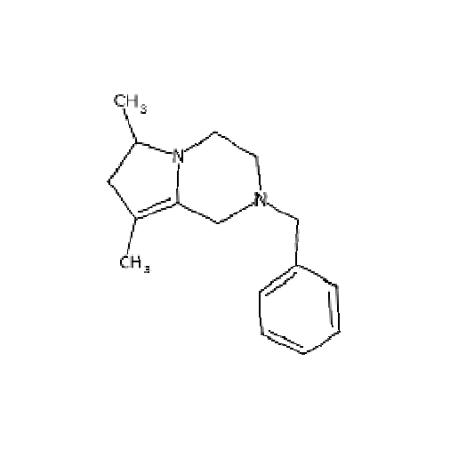 CC1=C2CN(Cc3ccccc3)CCN2C(C)C1